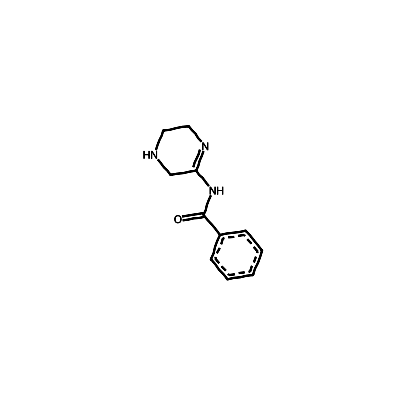 O=C(NC1=NCCNC1)c1ccccc1